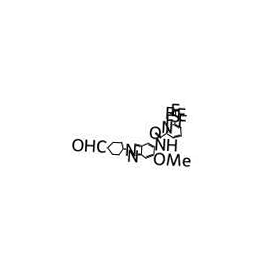 COc1cc2nn(C3CCC(C=O)CC3)cc2cc1NC(=O)c1cccc(S(F)(F)(F)(F)F)n1